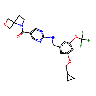 O=C(c1cnc(NCc2cc(OCC3CC3)cc(OC(F)(F)F)c2)nc1)N1CCC12COC2